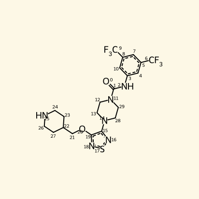 O=C(Nc1cc(C(F)(F)F)cc(C(F)(F)F)c1)N1CCN(c2nsnc2OCC2CCNCC2)CC1